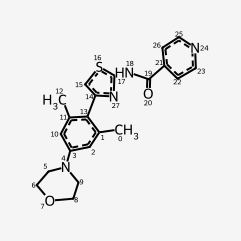 Cc1cc(N2CCOCC2)cc(C)c1-c1csc(NC(=O)c2ccncc2)n1